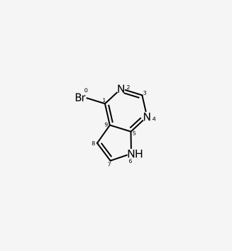 Brc1ncnc2[nH]ccc12